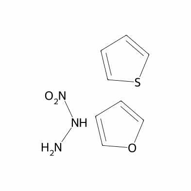 NN[N+](=O)[O-].c1ccoc1.c1ccsc1